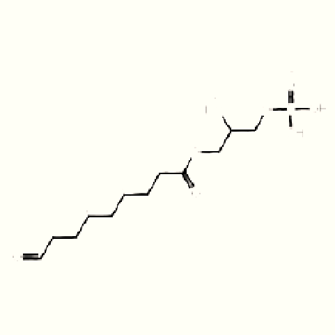 O=CCCCCCCCC(=O)OCC(O)COP(=O)(O)O